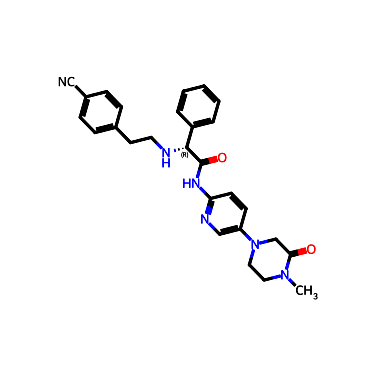 CN1CCN(c2ccc(NC(=O)[C@H](NCCc3ccc(C#N)cc3)c3ccccc3)nc2)CC1=O